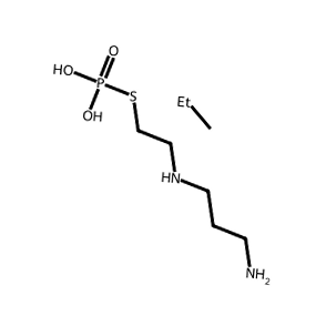 CCC.NCCCNCCSP(=O)(O)O